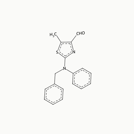 Cc1sc(N(Cc2ccccc2)c2ccccc2)nc1C=O